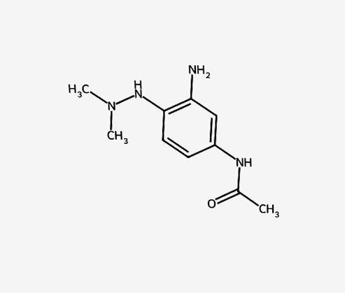 CC(=O)Nc1ccc(NN(C)C)c(N)c1